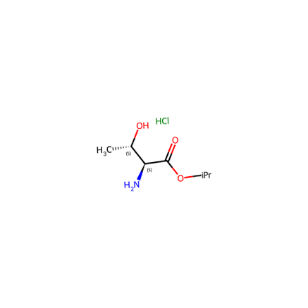 CC(C)OC(=O)[C@@H](N)[C@H](C)O.Cl